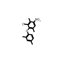 Cc1ccc(Oc2c(C)cc([N+](=O)[O-])c(C)c2Cl)c(C)c1